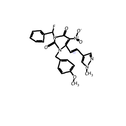 COc1ccc(Cn2c(/C=C/c3cnn(C)c3)c([N+](=O)[O-])c(=O)n(C(F)c3ccccc3)c2=O)cc1